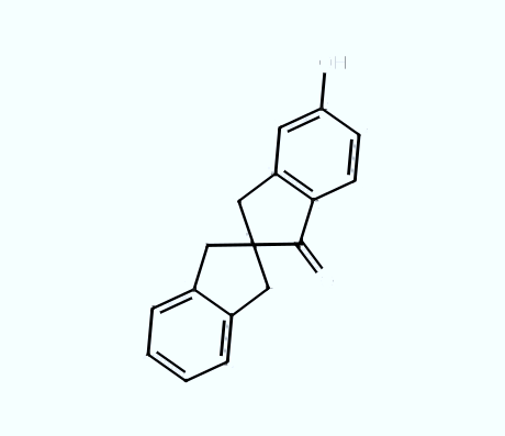 O=C1c2ccc(O)cc2CC12Cc1ccccc1C2